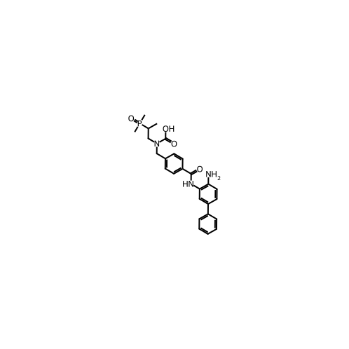 CC(CN(Cc1ccc(C(=O)Nc2cc(-c3ccccc3)ccc2N)cc1)C(=O)O)P(C)(C)=O